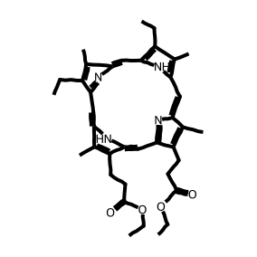 CCOC(=O)CCC1=C(C)c2cc3[nH]c(cc4nc(cc5[nH]c(cc1n2)c(CCC(=O)OCC)c5C)C(CC)=C4C)c(CC)c3C